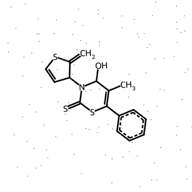 C=C1SC=CC1N1C(=S)SC(c2ccccc2)=C(C)C1O